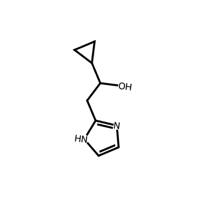 OC(Cc1ncc[nH]1)C1CC1